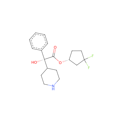 O=C(O[C@@H]1CCC(F)(F)C1)[C@](O)(c1ccccc1)C1CCNCC1